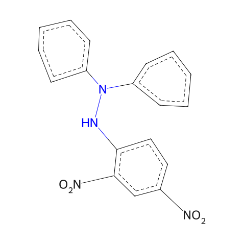 O=[N+]([O-])c1ccc(NN(c2ccccc2)c2ccccc2)c([N+](=O)[O-])c1